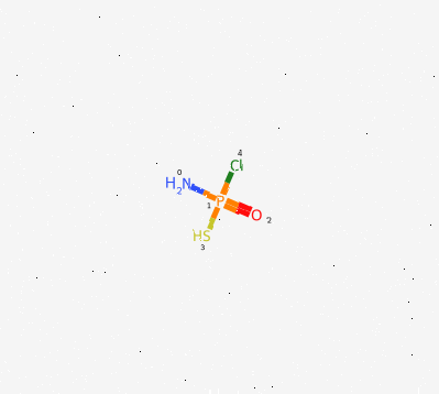 NP(=O)(S)Cl